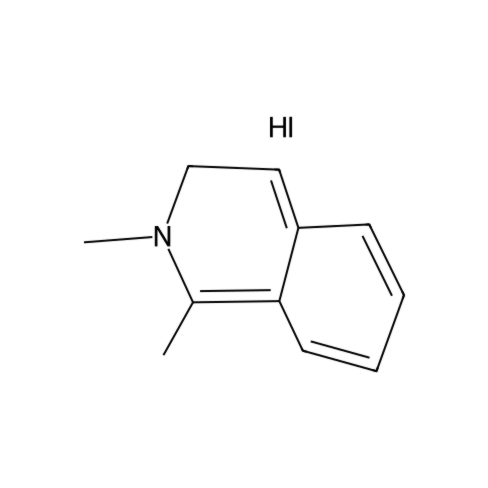 CC1=c2ccccc2=CCN1C.I